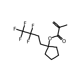 C=C(C)C(=O)OC1(CCC(F)(F)C(F)(F)F)CCCC1